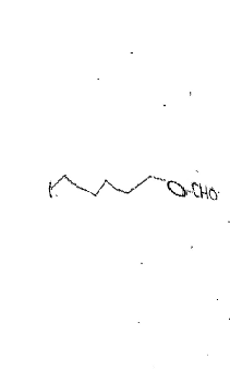 O=COCCCCCI